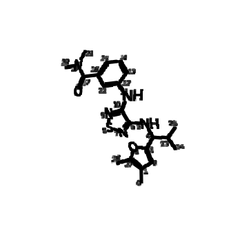 Cc1cc(C(Nc2nsnc2Nc2cccc(C(=O)N(C)C)c2)C(C)C)oc1C